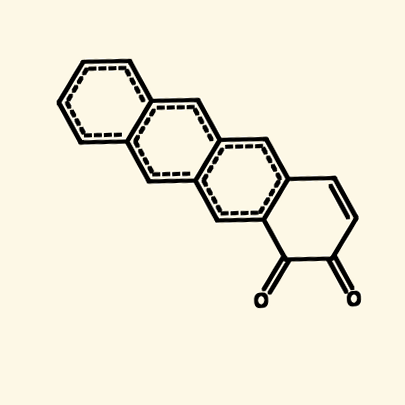 O=C1C=Cc2cc3cc4ccccc4cc3cc2C1=O